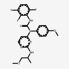 COCC(C)Nc1nccc(N(C(=O)Nc2c(F)ccc(F)c2F)c2ccc(OC)cc2)n1